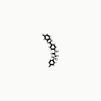 Cc1ccc(S(=O)(=O)NC(=O)Nc2ccc(-c3nc4ccc(C)cc4s3)cc2)cc1